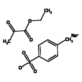 CCOC(=O)C(C)=O.Cc1ccc(S(=O)(=O)[O-])cc1.[Na+]